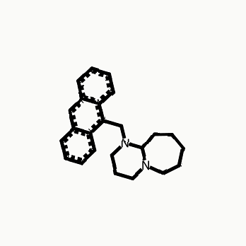 c1ccc2c(CN3CCCN4CCCCCC43)c3ccccc3cc2c1